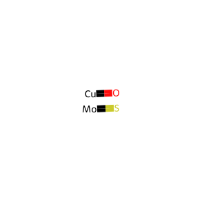 [O]=[Cu].[S]=[Mo]